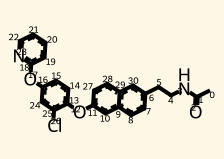 CC(=O)NCCc1ccc2cc(Oc3ccc(Oc4ccccn4)cc3Cl)ccc2c1